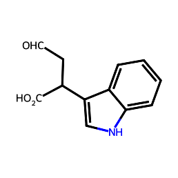 O=CCC(C(=O)O)c1c[nH]c2ccccc12